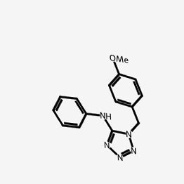 COc1ccc(Cn2nnnc2Nc2ccccc2)cc1